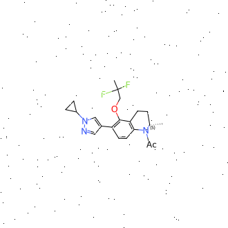 CC(=O)N1c2ccc(-c3cnn(C4CC4)c3)c(OCC(C)(F)F)c2CC[C@@H]1C